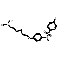 CCN(CCCCCCOc1ccc(N(C)S(=O)(=O)c2ccc(F)cc2)cc1)C(C)C